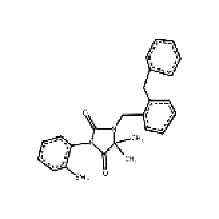 CSc1ccccc1N1C(=O)N(Cc2ccccc2Cc2ccccc2)C(C)(C)C1=O